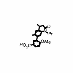 COc1ccc(C(=O)O)cc1-c1cc2c(cc1C)C(C)CC(=O)N2C(C)C